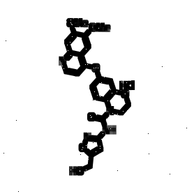 COc1cc2nccc(Oc3ccc4c(c3)OCCN4C(=O)Nc3cc(CO)on3)c2cc1OC.Cl